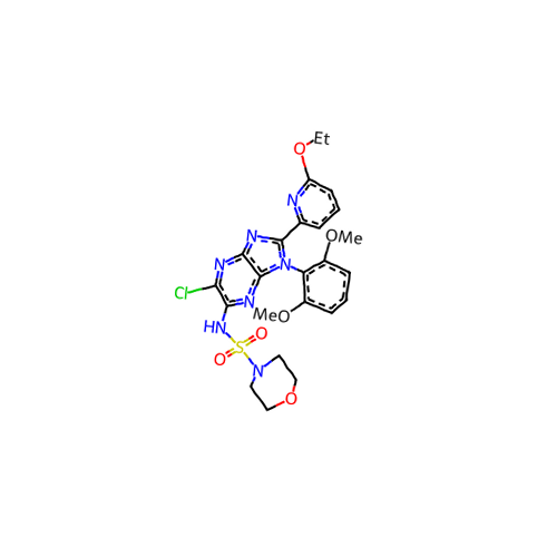 CCOc1cccc(-c2nc3nc(Cl)c(NS(=O)(=O)N4CCOCC4)nc3n2-c2c(OC)cccc2OC)n1